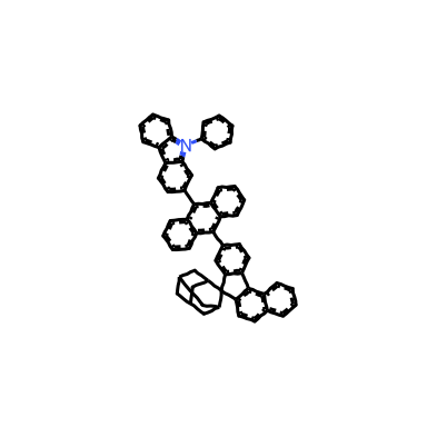 c1ccc(-n2c3ccccc3c3ccc(-c4c5ccccc5c(-c5ccc6c(c5)C5(c7ccc8ccccc8c7-6)C6CC7CC(C6)CC5C7)c5ccccc45)cc32)cc1